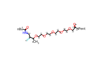 CCCCC(=O)NCC(F)C(C)OCCOCCOCCOCCOCC(=O)C(C)CCC